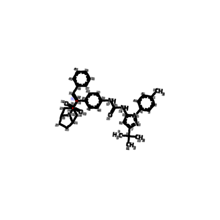 Cc1ccc(-n2nc(C(C)(C)C)cc2NC(=O)Nc2ccc(CC3CC4CCC(C3)N4S(=O)(=O)/C=C/c3ccccc3)cc2)cc1